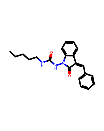 CCCCCNC(=O)NN1C(=O)C(=Cc2ccccc2)c2ccccc21